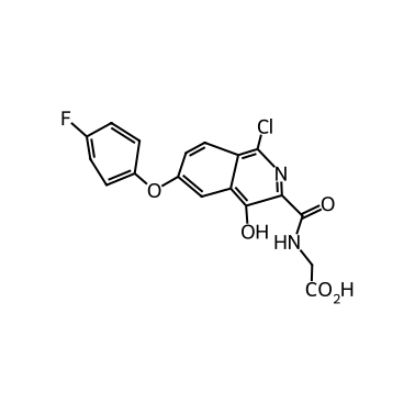 O=C(O)CNC(=O)c1nc(Cl)c2ccc(Oc3ccc(F)cc3)cc2c1O